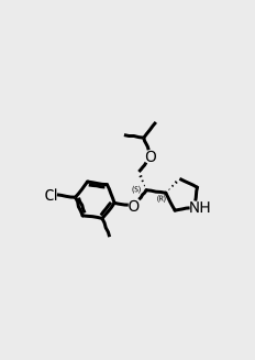 Cc1cc(Cl)ccc1O[C@H](COC(C)C)[C@@H]1CCNC1